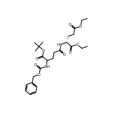 CCOC(=O)CC[C@@H](NC(=O)CCC(NC(=O)OCc1ccccc1)C(=O)OC(C)(C)C)C(=O)OCC